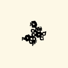 O=C(Nc1cccnc1)c1c(OC2OC(F)(F)Oc3cc(F)ccc32)cc(Cl)c(Cl)c1F